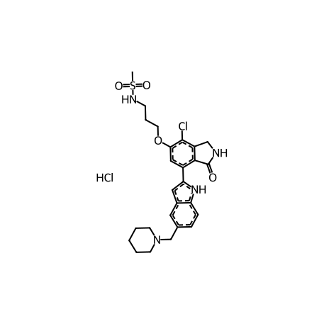 CS(=O)(=O)NCCCOc1cc(-c2cc3cc(CN4CCCCC4)ccc3[nH]2)c2c(c1Cl)CNC2=O.Cl